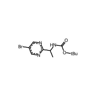 CC(NC(=O)OC(C)(C)C)c1ncc(Br)cn1